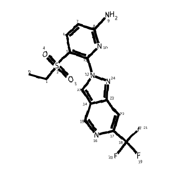 CCS(=O)(=O)c1ccc(N)nc1-n1cc2cnc(C(F)(F)F)cc2n1